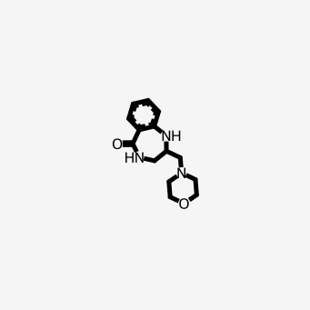 O=C1NCC(CN2CCOCC2)Nc2ccccc21